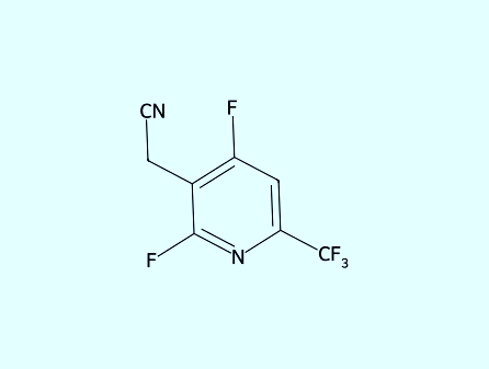 N#CCc1c(F)cc(C(F)(F)F)nc1F